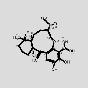 C=C1c2cc(O)c(O)c(B(O)O)c2OCC(N(CC)CC)CC[C@@H]2C(C)(C)CCC[C@@]12C